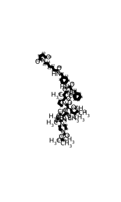 CC[C@H](C)[C@@H]([C@@H](CC(=O)N1CCC[C@H]1[C@H](OC)[C@@H](C)C(=O)N[C@@H](Cc1ccccc1)C(=O)Nc1ccc(CNC(=O)CCCCCN2C(=O)C=CC2=O)cc1)OC)N(C)C(=O)[C@@H](/N=C(\N(C)C)N1CCN(C(=O)OC(C)(C)C)CC1)C(C)C